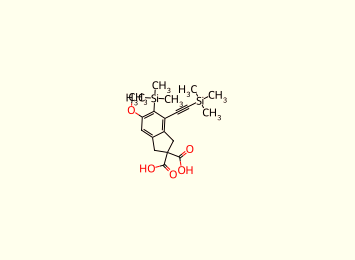 COc1cc2c(c(C#C[Si](C)(C)C)c1[Si](C)(C)C)CC(C(=O)O)(C(=O)O)C2